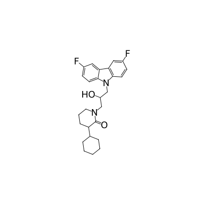 O=C1C(C2CCCCC2)CCCN1CC(O)Cn1c2ccc(F)cc2c2cc(F)ccc21